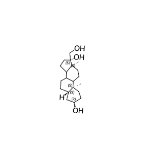 C[C@]12CCC3C(CC[C@H]4C[C@H](O)CC[C@]34C)C1CC[C@@]2(O)CO